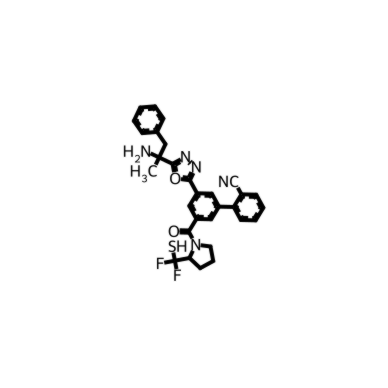 CC(N)(Cc1ccccc1)c1nnc(-c2cc(C(=O)N3CCCC3C(F)(F)S)cc(-c3ccccc3C#N)c2)o1